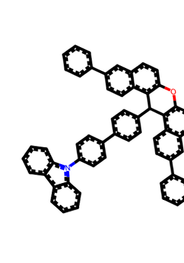 c1ccc(-c2ccc3c4c(ccc3c2)Oc2ccc3cc(-c5ccccc5)ccc3c2C4c2ccc(-c3ccc(-n4c5ccccc5c5ccccc54)cc3)cc2)cc1